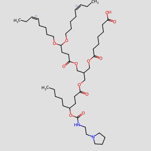 CC/C=C\CCCCOC(CCC(=O)OCC(COC(=O)CCCCCC(=O)O)COC(=O)CCC(CCCCC)OC(=O)NCCN1CCCC1)OCCCC/C=C\CC